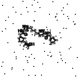 CB(O)N(C)Cc1cccc(CC(=O)Nc2nnc(CCCCc3ccc(NC(=O)Cc4ccccc4)nn3)s2)c1